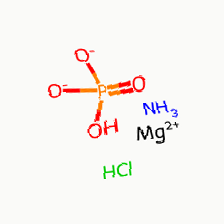 Cl.N.O=P([O-])([O-])O.[Mg+2]